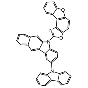 c1ccc2cc3c(cc2c1)c1cc(-n2c4ccccc4c4ccccc42)ccc1n3-c1nc2c(ccc3oc4ccccc4c32)o1